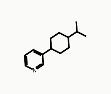 CC(C)C1CCC(c2cccnc2)CC1